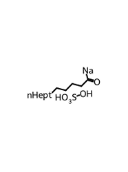 CCCCCCCCCCC[C](=O)[Na].O=S(=O)(O)O